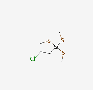 CS[Si](CCCl)(SC)SC